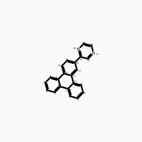 c1ccc2c(c1)c1ccccc1c1cc(-c3cnccn3)ccc21